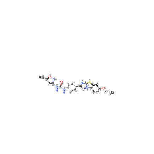 CCOC(=O)Oc1ccc2c(c1)sc1nc(-c3ccc(NC(=O)Nc4cc(C(C)(C)C)on4)cc3)cn12